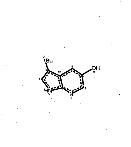 CC(C)(C)c1c[nH]c2ncc(O)cc12